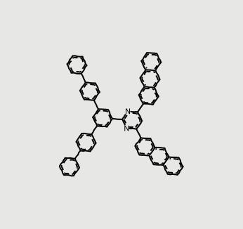 c1ccc(-c2ccc(-c3cc(-c4ccc(-c5ccccc5)cc4)cc(-c4nc(-c5ccc6cc7ccccc7cc6c5)cc(-c5ccc6cc7ccccc7cc6c5)n4)c3)cc2)cc1